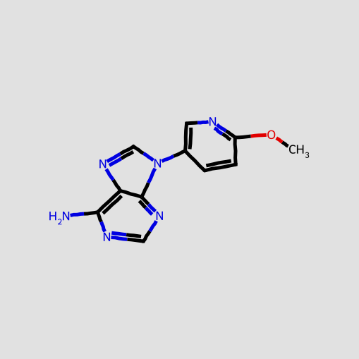 COc1ccc(-n2cnc3c(N)ncnc32)cn1